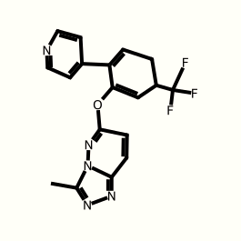 Cc1nnc2ccc(OC3=CC(C(F)(F)F)CC=C3c3ccncc3)nn12